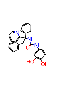 O=C(Nc1ccc(O)c(O)c1)NC(Cc1ccccc1)(c1ccccc1)c1ccccn1